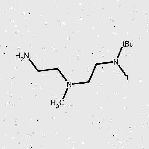 CN(CCN)CCN(I)C(C)(C)C